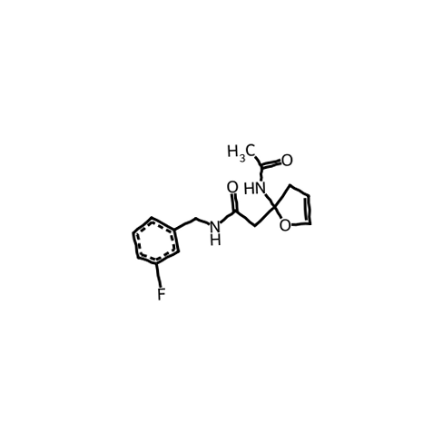 CC(=O)NC1(CC(=O)NCc2cccc(F)c2)CC=CO1